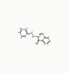 CCCc1ccccc1C(=O)OCCc1ccccc1